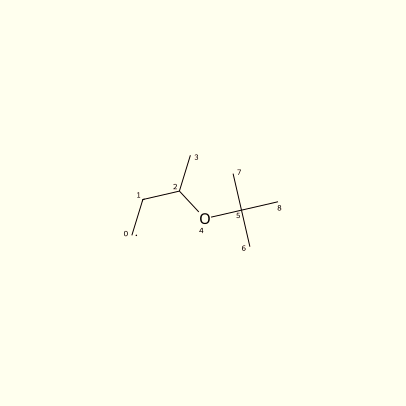 [CH2]CC(C)OC(C)(C)C